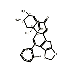 C[C@H]1C=C2C(=O)C=C3C4=C(C(c5ccccc5F)=C[C@]3(C(O)=S)[C@@]2(C)C[C@@H]1O)C1=C(C4)OCO1